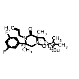 C=CCN1C(=O)[C@@](C)(CO[Si](C)(C)C(C)(C)C)N(C)C[C@@]1(C)c1cc(F)cc(F)c1